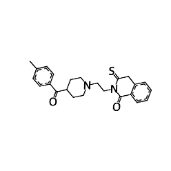 Cc1ccc(C(=O)C2CCN(CCN3C(=O)c4ccccc4CC3=S)CC2)cc1